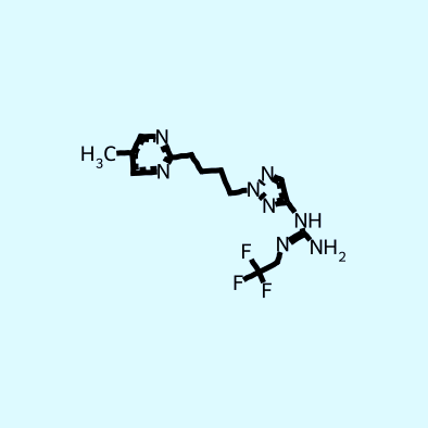 Cc1cnc(CCCCn2ncc(NC(N)=NCC(F)(F)F)n2)nc1